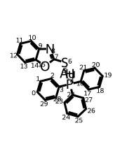 c1ccc([PH]([Au][S]c2nc3ccccc3o2)(c2ccccc2)c2ccccc2)cc1